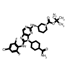 CC(C)(C)OC(=O)N1CCC[C@@H](Nc2ncc3nc(Nc4c(F)cc(Cl)cc4F)n(C4CCC(C(N)=O)CC4)c3n2)C1